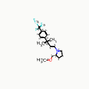 COC[C@@H]1CCCN1CCC(C)(C)c1ccc(C(F)(F)F)cc1